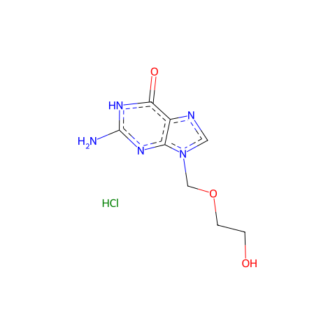 Cl.Nc1nc2c(ncn2COCCO)c(=O)[nH]1